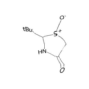 CC(C)(C)C1NC(=O)C[S+]1[O-]